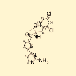 Nc1nccc(-c2ccc(C(=O)N[C@H](CO)CC3=C(Cl)CC(Cl)C=C3)s2)n1